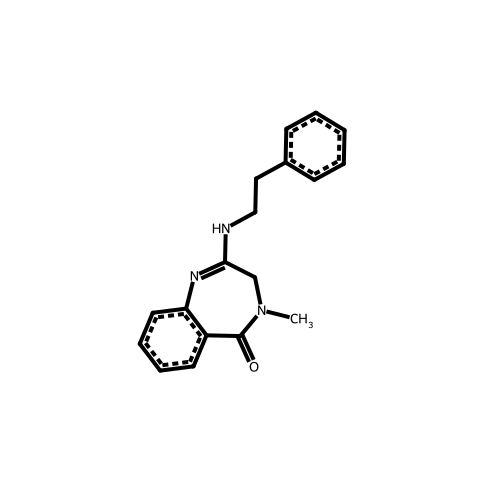 CN1CC(NCCc2ccccc2)=Nc2ccccc2C1=O